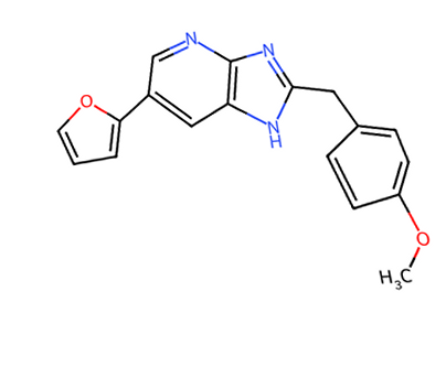 COc1ccc(Cc2nc3ncc(-c4ccco4)cc3[nH]2)cc1